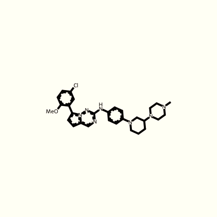 COc1ccc(Cl)cc1-c1ccc2cnc(Nc3ccc(N4CCCC(N5CCN(C)CC5)C4)cc3)nn12